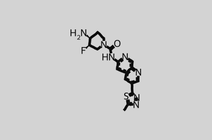 Cc1nnc(-c2cnc3cnc(NC(=O)N4CC[C@H](N)[C@H](F)C4)cc3c2)s1